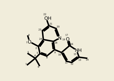 COc1c(C(C)(C)C)cc(-c2ccc(C)[nH]c2=O)c2ncc(O)cc12